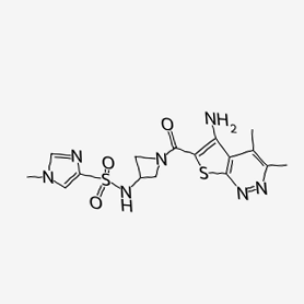 Cc1nnc2sc(C(=O)N3CC(NS(=O)(=O)c4cn(C)cn4)C3)c(N)c2c1C